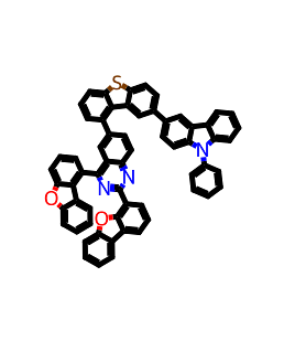 c1ccc(-n2c3ccccc3c3cc(-c4ccc5sc6cccc(-c7ccc8nc(-c9cccc%10c9oc9ccccc9%10)nc(-c9cccc%10oc%11ccccc%11c9%10)c8c7)c6c5c4)ccc32)cc1